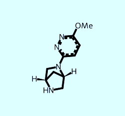 COc1ccc(N2C[C@@H]3C[C@H]2CN3)nn1